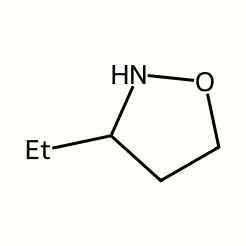 CCC1CCON1